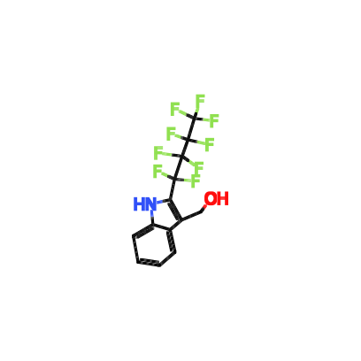 OCc1c(C(F)(F)C(F)(F)C(F)(F)C(F)(F)F)[nH]c2ccccc12